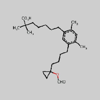 Cc1cc(C)c(CCCCC2(OC=O)CC2)cc1CCCCCC(C)(C)C(=O)O